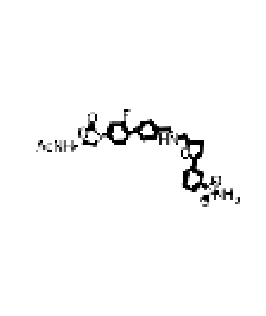 CC(=O)NC[C@H]1CN(c2ccc(-c3ccc(CNCc4ccc(-c5cccc(S(N)(=O)=O)c5)o4)cc3)c(F)c2)C(=O)O1